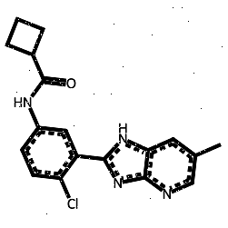 Cc1cnc2nc(-c3cc(NC(=O)C4CCC4)ccc3Cl)[nH]c2c1